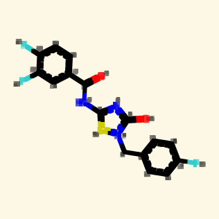 O=C(Nc1nc(=O)n(Cc2ccc(F)cc2)s1)c1ccc(F)c(F)c1